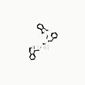 O=C(NNC(=S)N[C@@H](CCN1C(=O)c2ccccc2C1=O)Cc1ccccc1)c1nccc2c[c]ccc12